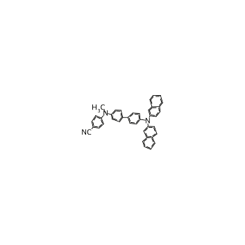 CN(c1ccc(C#N)cc1)c1ccc(-c2ccc(N(c3ccc4ccccc4c3)c3ccc4ccccc4c3)cc2)cc1